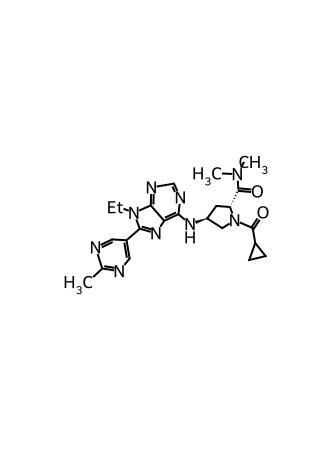 CCn1c(-c2cnc(C)nc2)nc2c(N[C@H]3C[C@H](C(=O)N(C)C)N(C(=O)C4CC4)C3)ncnc21